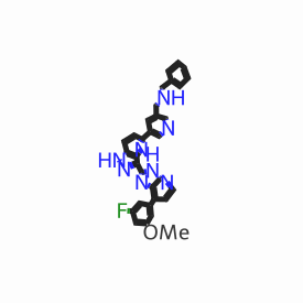 COc1cc(F)cc(-c2ccnc3[nH]c(-c4n[nH]c5ccc(-c6cncc(CNCc7ccccc7)c6)nc45)nc23)c1